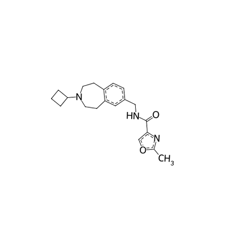 Cc1nc(C(=O)NCc2ccc3c(c2)CCN(C2CCC2)CC3)co1